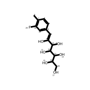 Cc1ccc(C=C(O)C(O)C(O)C(O)C(O)CO)cc1F